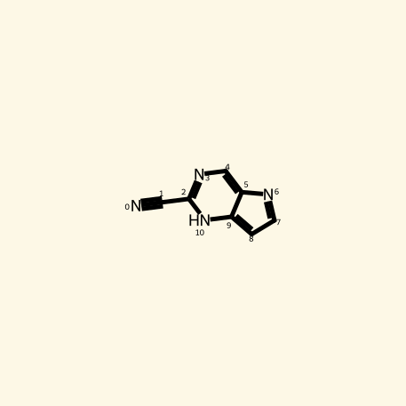 N#Cc1ncc2nccc-2[nH]1